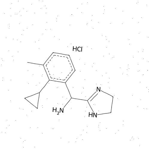 Cc1cccc(C(N)C2=NCCN2)c1C1CC1.Cl